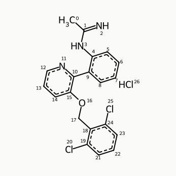 CC(=N)Nc1ccccc1-c1ncccc1OCc1c(Cl)cccc1Cl.Cl